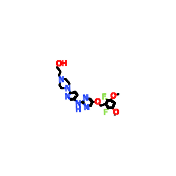 COc1cc(OC)c(F)c(COc2cnc(Nc3ccc(N4CCN(CCCO)CC4)nc3)nc2)c1F